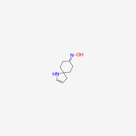 ON=C1CCC2(CC=CN2)CC1